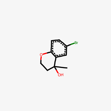 CC1(O)CCOc2ccc(Br)cc21